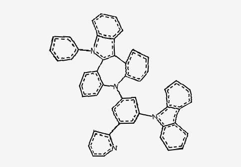 c1ccc(-n2c3c(c4ccccc42)-c2ccccc2N(c2cc(-c4ccccn4)cc(-n4c5ccccc5c5ccccc54)c2)c2ccccc2-3)cc1